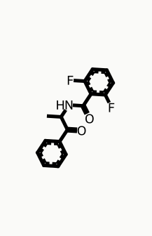 CC(NC(=O)c1c(F)cccc1F)C(=O)c1ccccc1